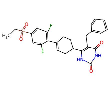 CCS(=O)(=O)c1cc(F)c(C2=CCC(c3[nH]c(=O)[nH]c(=O)c3Cc3ccccc3)CC2)c(F)c1